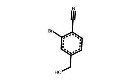 N#Cc1ccc(CO)cc1Br